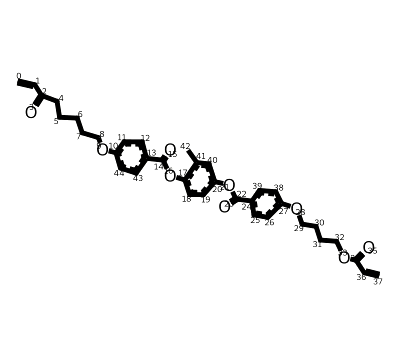 C=CC(=O)CCCCCOc1ccc(C(=O)Oc2ccc(OC(=O)c3ccc(OCCCCOC(=O)C=C)cc3)cc2C)cc1